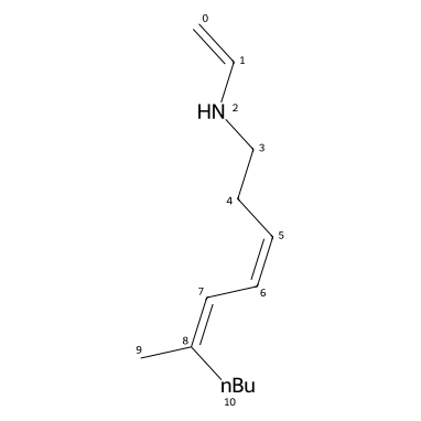 C=CNCC/C=C\C=C(\C)CCCC